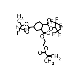 C=C(C)C(=O)OCCOC(=O)C1CC(C(=O)OC(C)C(F)(F)F)CCC1C(=O)OC(C(F)(F)F)C(F)(F)F